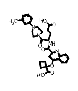 Cc1cccc(N2CCN(C(=O)C(CCC(=O)O)NC(=O)c3cc(OC4(C(=O)O)CCC4)c4ccccc4n3)CC2)c1